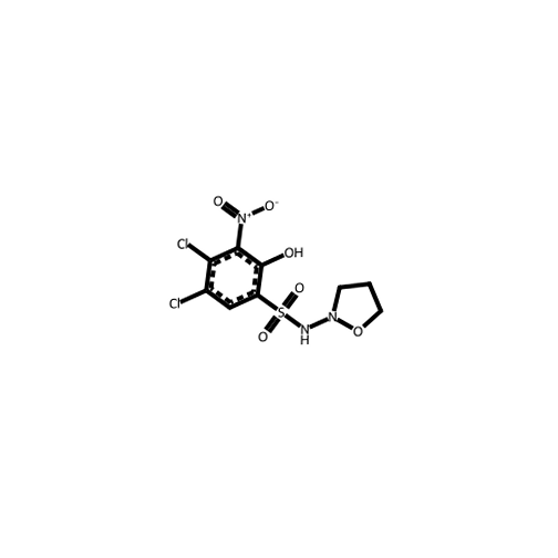 O=[N+]([O-])c1c(O)c(S(=O)(=O)NN2CCCO2)cc(Cl)c1Cl